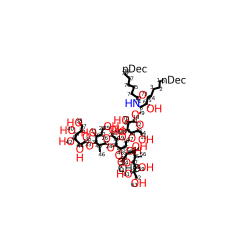 CCCCCCCCCCCCC/C=C/[C@@H](O)[C@H](CO[C@@H]1OC(CO)[C@@H](O[C@@H]2OC(CO)[C@H](O[C@@H]3OC(CO)[C@H](O)[C@H](O[C@@H]4OC(CO)[C@H](O)[C@H](O)C4O)C3C)[C@H](O[C@]3(OC=O)C[C@@H](O)[C@@H](C)C([C@H](O)[C@H](O)CO)O3)C2O)[C@H](O)C1O)NC(=O)CCCCCCCCCCCCCCC